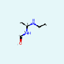 CCN[C@H](C)NC=O